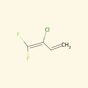 C=CC(Cl)=C(F)F